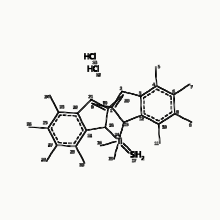 CC1=Cc2c(C)c(C)c(C)c(C)c2[CH]1[Ti]([CH3])([CH3])(=[SiH2])[CH]1C(C)=Cc2c(C)c(C)c(C)c(C)c21.Cl.Cl